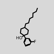 CCCCCCCC1CCC(O)(c2cccc(F)c2)CC1